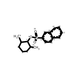 CC1CCCC(C)C1OS(=O)(=O)c1ccc2ccccc2c1